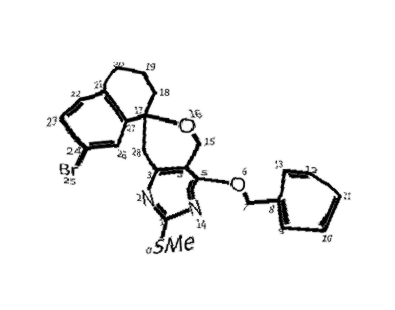 CSc1nc2c(c(OCc3ccccc3)n1)COC1(CCCc3ccc(Br)cc31)C2